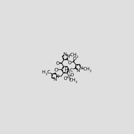 Cc1cnn(Cc2c(S(C)(=O)=O)ccc(C(=O)c3cnn(C)c3OC(=O)c3cn(C)nc3C)c2Cl)c1